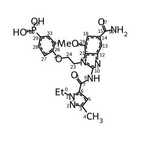 CCn1nc(C)cc1C(=O)Nc1nc2cc(C(N)=O)cc(OC)c2n1CCOc1ccc(P(O)O)cc1